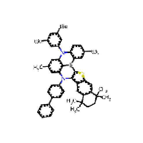 Cc1cc2c3c(c1)N(c1ccc(-c4ccccc4)cc1)c1c(sc4cc5c(cc14)C(C)(C)CCC5(C)C)B3c1cc(C(C)(C)C)ccc1N2c1cc(C(C)(C)C)cc(C(C)(C)C)c1